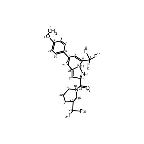 COc1ccc(-c2cc(C(F)(F)F)n3nc(C(=O)N4CCCC(C(F)F)C4)cc3n2)cc1